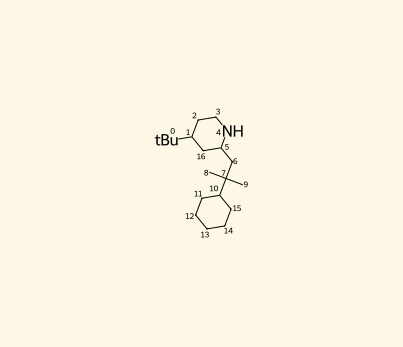 CC(C)(C)C1CCNC(CC(C)(C)C2CCCCC2)C1